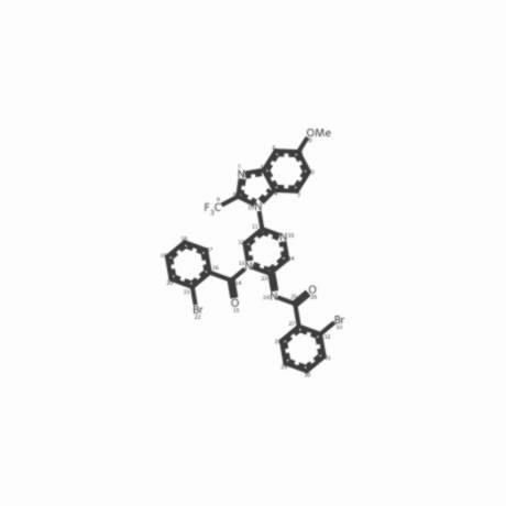 COc1ccc2c(c1)nc(C(F)(F)F)n2-c1cn(C(=O)c2ccccc2Br)/c(=N/C(=O)c2ccccc2Br)cn1